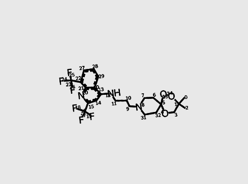 CC1(C)COC2(CCN(CCCNc3cc(C(F)(F)F)nc4c(C(F)(F)F)cccc34)CC2)OO1